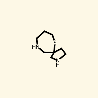 C1CNCC2(CCNC2)SC1